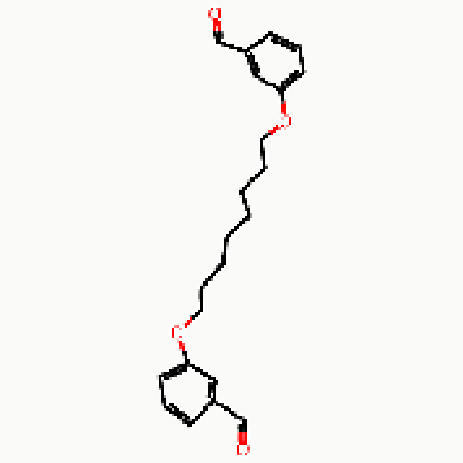 O=Cc1cccc(OCCCCCCCCOc2cccc(C=O)c2)c1